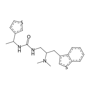 CC(NC(=O)NCC(Cc1csc2ccccc12)N(C)C)c1ccsc1